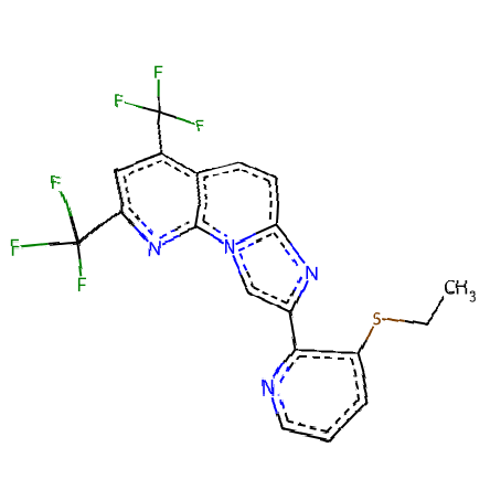 CCSc1cccnc1-c1cn2c(ccc3c(C(F)(F)F)cc(C(F)(F)F)nc32)n1